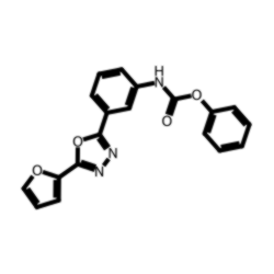 O=C(Nc1cccc(-c2nnc(-c3ccco3)o2)c1)Oc1ccccc1